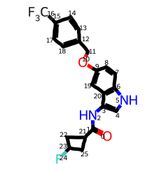 O=C(Nc1c[nH]c2ccc(OCc3ccc(C(F)(F)F)cc3)cc12)C1CC(F)C1